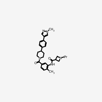 Cc1ccc(C(=O)N2CCC(c3ccc(-c4cnn(C)c4)cc3)CC2)cc1NC(=O)C1CN(C(C)C)C1